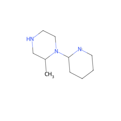 CC1CNCCN1C1CCCC[N]1